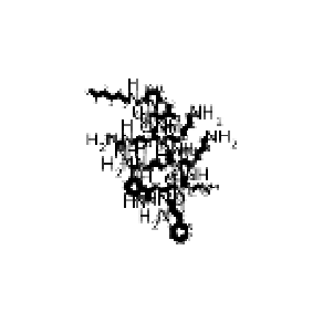 CCCCCCNC(=O)[C@@H]1CCCN1C(=O)[C@@H](NC(=O)[C@H](CCCNC(=N)N)NC(=O)[C@H](CCCCN)NC(=O)[C@H](CCCNC(=N)N)NC(=O)[C@H](CCCCN)NC(=O)[C@H](CCSC)NC(=O)[C@H](Cc1c[nH]c2ccccc12)NC(=O)[C@@H](N)Cc1ccccc1)C(C)C